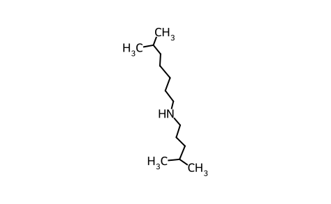 CC(C)CCCCCNCCCC(C)C